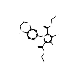 CCOC(=O)c1c(O)c(O)c(C(=O)OCC)n1-c1ccc2c(c1)OCCO2